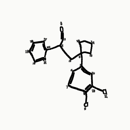 O=CC(CC1(c2ccc(Cl)c(Cl)c2)CCC1)c1ccccn1